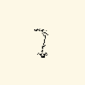 CCCCOC(=O)[C@H](C)NC(=O)[C@H](C)NC(=O)CCCCC(=O)NCCN1C(=O)C=CC1=O